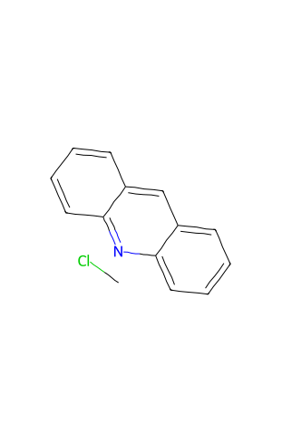 CCl.c1ccc2nc3ccccc3cc2c1